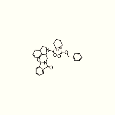 O=C(OCc1ccccc1)[C@H]1CCCC[C@H]1C(=O)N1CCc2ccccc2C1CN1C(=O)c2ccccc2C1=O